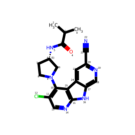 CC(C)C(=O)N[C@H]1CCN(c2c(Cl)cnc3[nH]c4cnc(C#N)cc4c23)C1